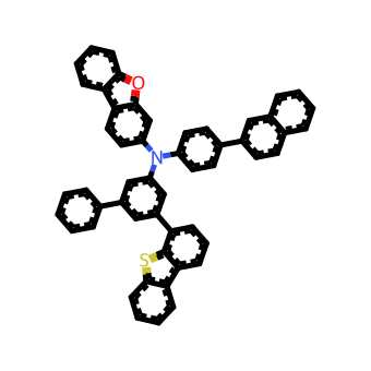 c1ccc(-c2cc(-c3cccc4c3sc3ccccc34)cc(N(c3ccc(-c4ccc5ccccc5c4)cc3)c3ccc4c(c3)oc3ccccc34)c2)cc1